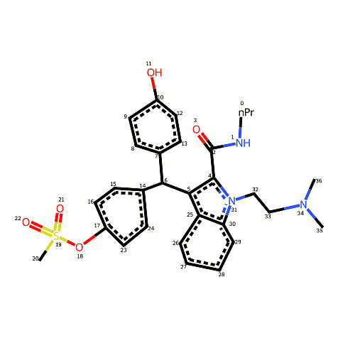 CCCNC(=O)c1c(C(c2ccc(O)cc2)c2ccc(OS(C)(=O)=O)cc2)c2ccccc2n1CCN(C)C